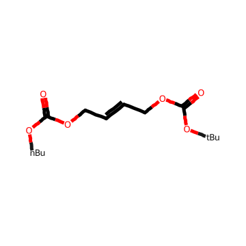 CCCCOC(=O)OCC=CCOC(=O)OC(C)(C)C